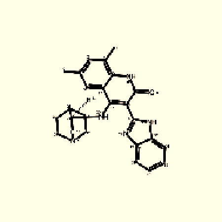 Cc1cc(C)c2[nH]c(=O)c(-c3nc4ccccc4[nH]3)c(N[C@H]3CN4CCC3CC4)c2c1